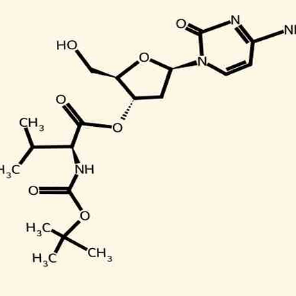 CC(C)[C@H](NC(=O)OC(C)(C)C)C(=O)O[C@H]1C[C@H](n2ccc(N)nc2=O)O[C@@H]1CO